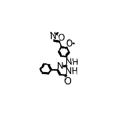 COc1cc(Nc2nc(-c3ccccc3)cc(=O)[nH]2)ccc1-c1cnco1